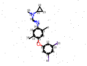 Cc1cc(Oc2cc(I)cc(I)c2)c(C)cc1N=CN(C)C1CC1